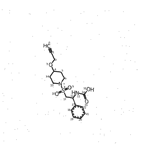 C#CCOC1CCN(S(=O)(=O)CC(NC(=O)O)c2ccccc2)CC1